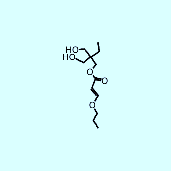 CCCOC=CC(=O)OCC(CC)(CO)CO